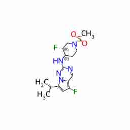 C=C(C)c1cc(F)c2cnc(N[C@@H]3CCN(S(C)(=O)=O)C[C@H]3F)nn12